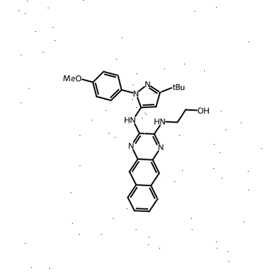 COc1ccc(-n2nc(C(C)(C)C)cc2Nc2nc3cc4ccccc4cc3nc2NCCO)cc1